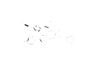 COC(=O)c1sc(C#CC(C)(C)C)cc1N(C(=O)[C@H]1CC=C(C)C[C@@H]1C)[C@H]1CC[C@](O)(COC2CCCC2)CC1